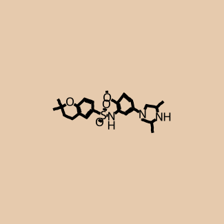 COc1ccc(N2CC(C)NC(C)C2)cc1NS(=O)(=O)c1ccc2c(c1)CCC(C)(C)O2